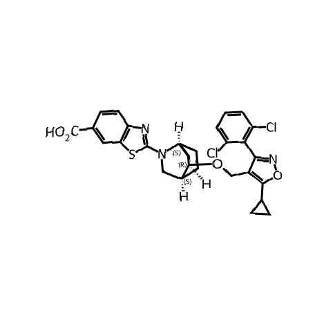 O=C(O)c1ccc2nc(N3C[C@@H]4CC[C@H]3C[C@H]4OCc3c(-c4c(Cl)cccc4Cl)noc3C3CC3)sc2c1